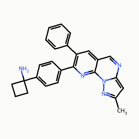 Cc1cc2ncc3cc(-c4ccccc4)c(-c4ccc(C5(N)CCC5)cc4)nc3n2n1